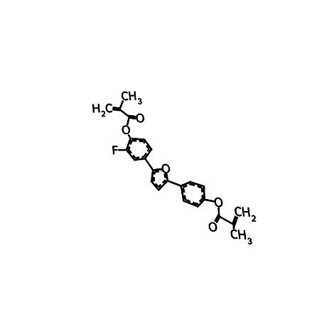 C=C(C)C(=O)Oc1ccc(-c2ccc(-c3ccc(OC(=O)C(=C)C)c(F)c3)o2)cc1